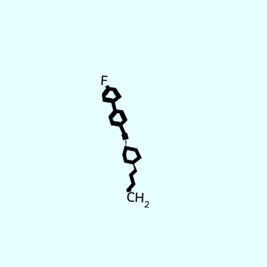 C=CCCC[C@H]1CC[C@H](C#Cc2ccc(-c3ccc(F)cc3)cc2)CC1